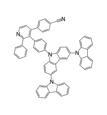 N#Cc1ccc(-c2ccnc(-c3ccccc3)c2-c2ccc(-n3c4ccc(-n5c6ccccc6c6ccccc65)cc4c4cc(-n5c6ccccc6c6ccccc65)ccc43)cc2)cc1